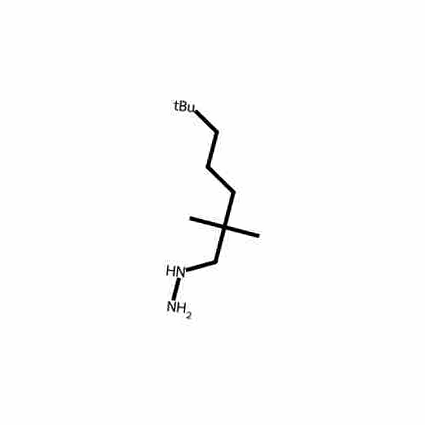 CC(C)(C)CCCC(C)(C)CNN